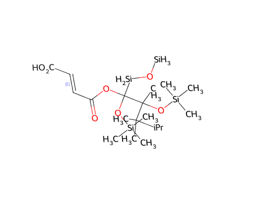 CC(C)C(C)(C)C(C)(O[Si](C)(C)C)C(OC(=O)/C=C/C(=O)O)(O[Si](C)(C)C)[SiH2]O[SiH3]